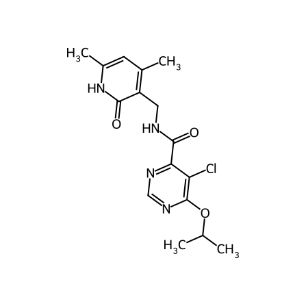 Cc1cc(C)c(CNC(=O)c2ncnc(OC(C)C)c2Cl)c(=O)[nH]1